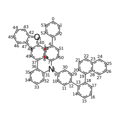 c1ccc(-c2ccc(N(c3ccc(-c4ccccc4-c4cccc5ccccc45)cc3)c3ccccc3-c3ccc4oc5ccccc5c4c3)cc2)cc1